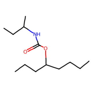 CCCCC(CCC)OC(=O)NC(C)CC